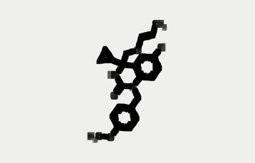 CC=COCC1(C2CC2)NC(=O)N(Cc2ccc(OC)cc2)c2ccc(Cl)cc21